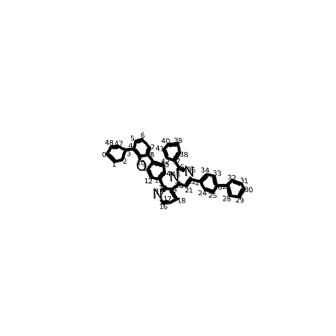 C1=CCC(c2cccc3c2oc2cc(-c4ncccc4-c4cc(-c5ccc(-c6ccccc6)cc5)nc(-c5ccccc5)n4)ccc23)C=C1